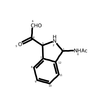 CC(=O)NC1NC(C(=O)C=O)c2ccccc21